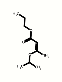 CCCOC(=O)/C=C(/N)OC(C)C